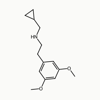 COc1cc(CCNCC2CC2)cc(OC)c1